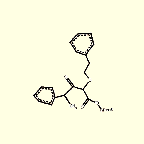 CCCCCOC(=O)C(OCCc1ccccc1)C(=O)C(C)c1ccccc1